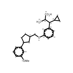 COc1cccc(C2CCC(COc3cccc(C(C4CC4)C(C)C(=O)O)c3)C2)c1